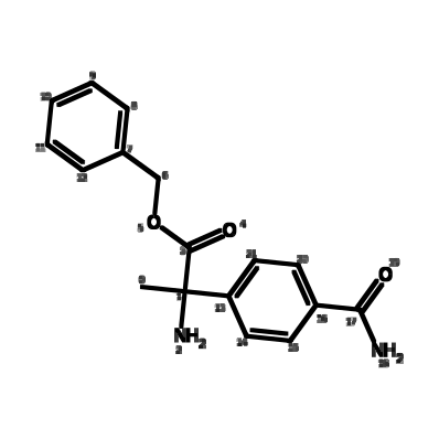 CC(N)(C(=O)OCc1ccccc1)c1ccc(C(N)=O)cc1